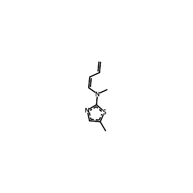 C=C/C=C\N(C)c1ncc(C)s1